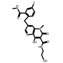 CNC(=O)c1cc(F)ccc1Cc1cnc2c(O)c(C(=O)NCCO)c(=O)n(C)c2c1